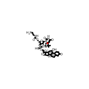 C[C@@H]1C[C@H]2[C@@H]3CCC4=CC(=O)C=C[C@]4(C)[C@@]3(F)[C@@H](O)C[C@]2(C)[C@@]1(O)C(=O)COP(=O)(O)OC1[C@@H](COC(=O)NCCN)O[C@@H](n2ccc(=O)[nH]c2=O)[C@H]1O[Si](C)(C)C(C)(C)C